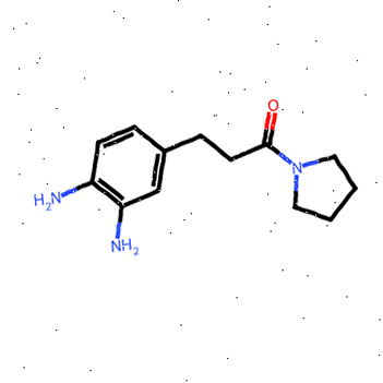 Nc1ccc(CCC(=O)N2CCCC2)cc1N